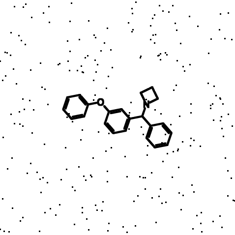 c1ccc(Oc2cccc(C(c3ccccc3)N3CCC3)c2)cc1